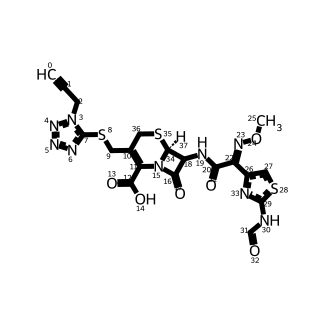 C#CCn1nnnc1SCC1=C(C(=O)O)N2C(=O)C(NC(=O)C(=NOC)c3csc(NC=O)n3)[C@@H]2SC1